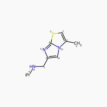 Cc1csc2nc(CNC(C)C)cn12